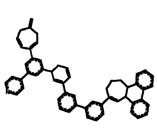 C=C1CC=CC(c2cc(-c3ccncc3)cc(C3C=C(c4cccc(-c5cccc(C6=CC7c8ccccc8-c8ccccc8C7CCC6)c5)c4)C=CC3)c2)=CC1